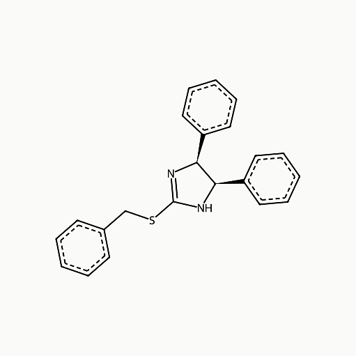 c1ccc(CSC2=N[C@@H](c3ccccc3)[C@@H](c3ccccc3)N2)cc1